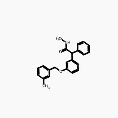 Cc1cccc(COc2cccc(C(C(=O)NO)c3ccccc3)c2)c1